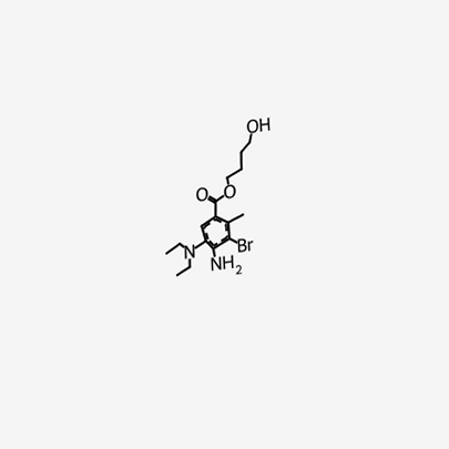 CCN(CC)c1cc(C(=O)OCCCCO)c(C)c(Br)c1N